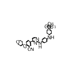 CS(=O)(=O)N1CCC(Nc2ccc(Nc3nccc(-c4ccc(OC5CCOCC5)c(C#N)c4)n3)cc2)CC1